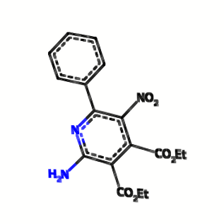 CCOC(=O)c1c(N)nc(-c2ccccc2)c([N+](=O)[O-])c1C(=O)OCC